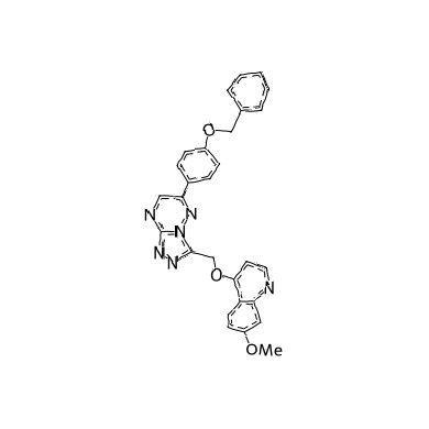 COc1ccc2c(OCc3nnc4ncc(-c5ccc(OCc6ccccc6)cc5)nn34)ccnc2c1